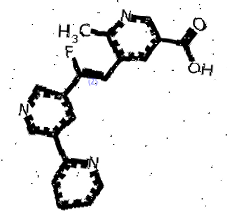 Cc1ncc(C(=O)O)cc1/C=C(\F)c1cncc(-c2ccccn2)c1